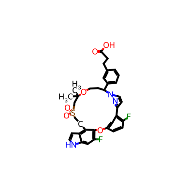 CC1(C)CS(=O)(=O)CCc2c(c(F)cc3[nH]ccc23)Oc2ccc(F)c(c2)-c2ccn(n2)C(c2cccc(CCC(=O)O)c2)CCO1